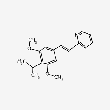 COc1cc(C=Cc2ccccn2)cc(OC)c1C(C)C